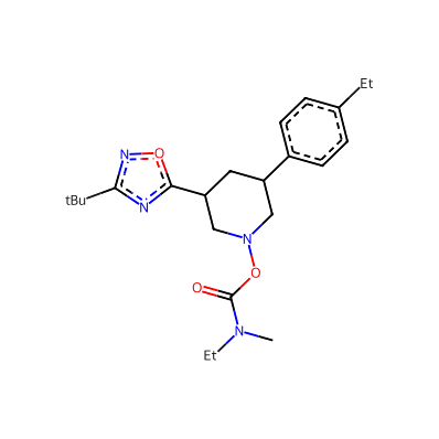 CCc1ccc(C2CC(c3nc(C(C)(C)C)no3)CN(OC(=O)N(C)CC)C2)cc1